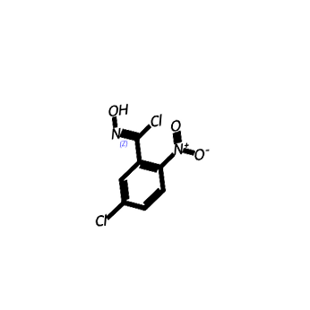 O=[N+]([O-])c1ccc(Cl)cc1/C(Cl)=N/O